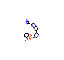 COc1ccccc1S(=O)(=O)Nc1cncc(-c2ccc3ncc(-c4cnn(C)c4)nc3c2)c1